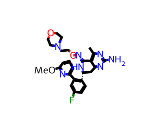 COc1cccc(-c2cc(F)ccc2[C@H]2Cc3nc(N)nc(C)c3/C(=N/OCCN3CCOCC3)N2)n1